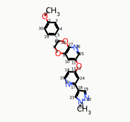 COc1ccc([C@H]2COc3cc(Oc4ccnc(-c5cnn(C)c5)c4)cnc3O2)cc1